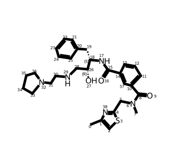 Cc1csc(CN(C)C(=O)c2cccc(C(=O)N[C@@H](Cc3ccccc3)[C@H](O)CNCCN3CCCC3)c2)n1